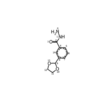 NNC(=O)c1cccc(C2OCCO2)c1